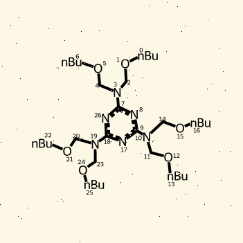 CCCCOCN(COCCCC)c1nc(N(COCCCC)COCCCC)nc(N(COCCCC)COCCCC)n1